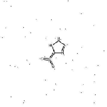 O=S(=O)=c1nn[nH][nH]1